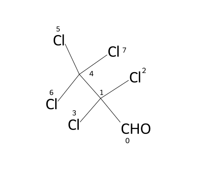 O=CC(Cl)(Cl)C(Cl)(Cl)Cl